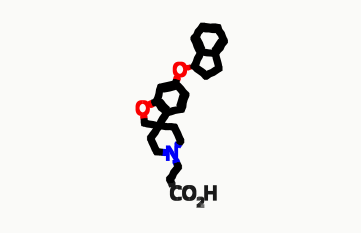 O=C(O)CCN1CCC2(CC1)COc1cc(O[C@@H]3CCc4ccccc43)ccc12